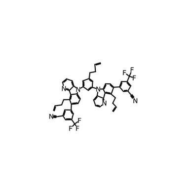 C=CCCc1cc(-n2c3cccnc3c3c(CCC=C)c(-c4cc(C#N)cc(C(F)(F)F)c4)ccc32)cc(-n2c3cccnc3c3c(CCC=C)c(-c4cc(C#N)cc(C(F)(F)F)c4)ccc32)c1